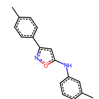 Cc1ccc(-c2cc(Nc3cccc(C)c3)on2)cc1